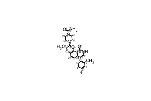 Cc1cc(F)ccc1-c1c[nH]c(=O)c2cc(O[C@H](C)C(=O)N3CCN(C(N)=O)CC3)ccc12